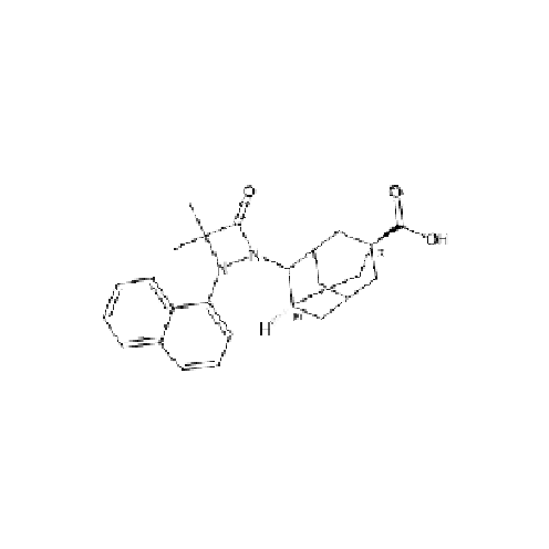 CC1(C)C(=O)N(C2C3CC4C[C@@H]2C[C@@](C(=O)O)(C4)C3)N1c1cccc2ccccc12